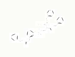 COP(=O)(CCC(C(=O)OCc1ccccc1)N(C=O)OCc1ccccc1)Oc1cccc(CC(=O)OCc2ccccc2)c1